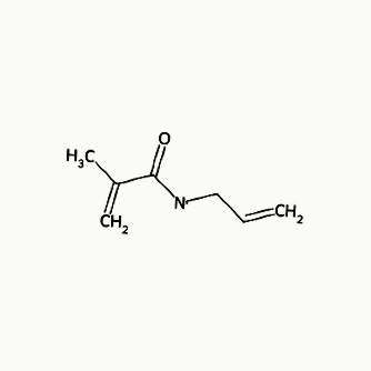 C=CC[N]C(=O)C(=C)C